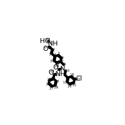 O=C(C=Cc1ccc(CN(CCc2cccc(Cl)c2)C(=O)NC(=O)c2ccccc2)cc1)NO